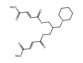 COC(=O)/C=C/C(=O)OCC(COC(=O)/C=C/C(=O)OC)CN1CCCCC1